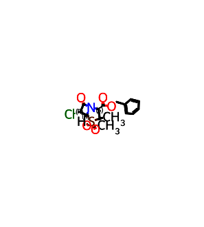 CC1(C)[C@H](C(=O)OCc2ccccc2)N2C(=O)[C@@H](Cl)[C@H]2S1(=O)=O